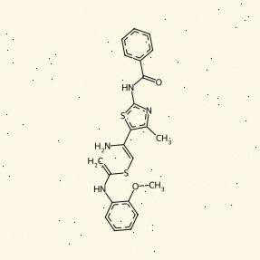 C=C(Nc1ccccc1OC)S/C=C(\N)c1sc(NC(=O)c2ccccc2)nc1C